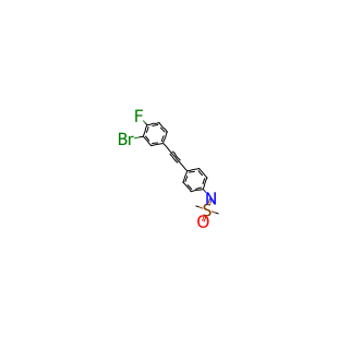 CS(C)(=O)=Nc1ccc(C#Cc2ccc(F)c(Br)c2)cc1